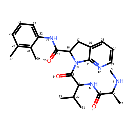 CN[C@@H](C)C(=O)NC(C(=O)N1c2ncccc2CC1C(=O)Nc1cccc(C)c1C)C(C)C